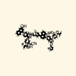 C=C(F)C(=O)N1CCN(c2nc(OC[C@H]3CCCN3C)nc3c2CCN(c2ccc(C4C[C@@H](COc5nc6c(c(N7CCN(C(O)C(=C)F)[C@@H](CC#N)C7)n5)CCN(c5cc(O)cc7ccccc57)C6)N(C)C4)c4cccc(Cl)c24)C3)C[C@@H]1CC#N